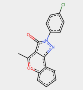 Cc1oc2ccc[c]c2c2nn(-c3ccc(Cl)cc3)c(=O)c1-2